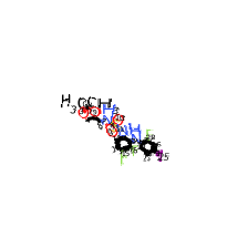 CC1(C)OCC(CNS(=O)(=O)Nc2ccc(F)c(F)c2Nc2ccc(I)cc2F)O1